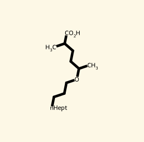 CCCCCCCCCCOC(C)CCC(C)C(=O)O